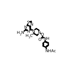 CC(=O)Nc1ccc(NC(=O)ON2CCN(c3nc(N)nc4scnc34)[C@@H](C)C2)cc1